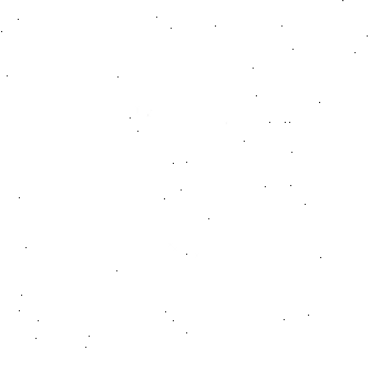 CC(C)c1ccc(S(=O)(=O)O)cc1